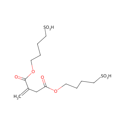 C=C(CC(=O)OCCCCS(=O)(=O)O)C(=O)OCCCCS(=O)(=O)O